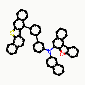 c1cc(-c2cccc(N(c3ccc4ccccc4c3)c3cc4ccccc4c4c3oc3ccccc34)c2)cc(-c2c3ccccc3cc3sc4c5ccccc5ccc4c23)c1